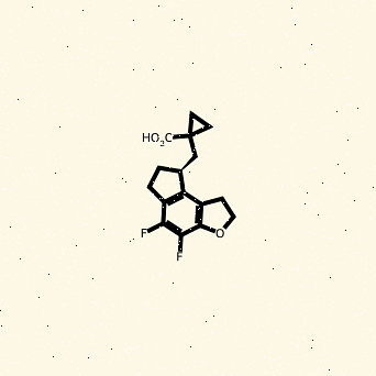 O=C(O)C1(C[C@@H]2CCc3c(F)c(F)c4c(c32)CCO4)CC1